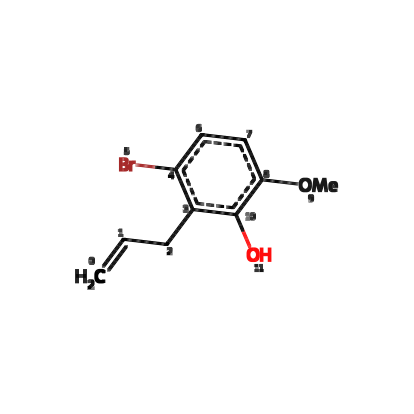 C=CCc1c(Br)ccc(OC)c1O